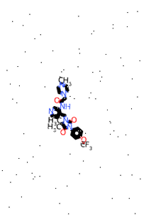 CN1CCN(CC(=O)Nc2cnccc2CN2C(=O)N(c3ccc(OC(F)(F)F)cc3)C(=O)C2(C)C)CC1